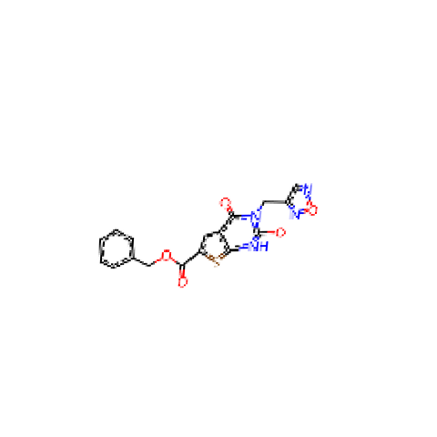 O=C(OCc1ccccc1)c1cc2c(=O)n(Cc3cnon3)c(=O)[nH]c2s1